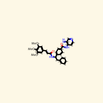 COc1cc(/C=C/C(=O)NC(Cc2ccccc2)c2ccc(C(=O)Nc3ccncc3N)cc2)cc(OC)c1OC